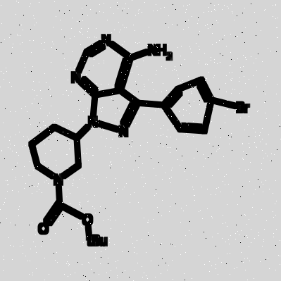 CC(C)(C)OC(=O)N1CCCC(n2nc(-c3ccc(Br)cc3)c3c(N)ncnc32)C1